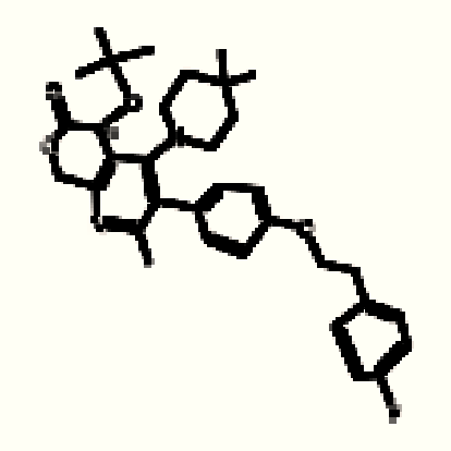 Cc1nc2c(c(N3CCC(C)(C)CC3)c1-c1ccc(OCCc3ccc(F)cc3)cc1)[C@H](OC(C)(C)C)C(=O)OC2